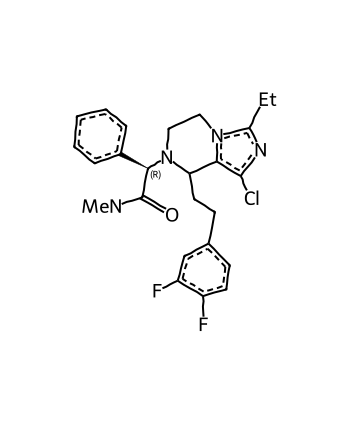 CCc1nc(Cl)c2n1CCN([C@@H](C(=O)NC)c1ccccc1)C2CCc1ccc(F)c(F)c1